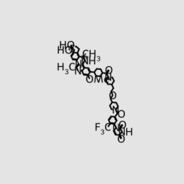 COc1cc2nc(C)nc(N[C@H](C)c3cccc4c3CCS4(O)O)c2cc1C1CCC(C(=O)N2CCC(CCOCC3CCN(C(=O)c4ccc(C(F)(F)F)c(-n5ccc(=O)[nH]c5=O)c4)CC3)CC2)CC1